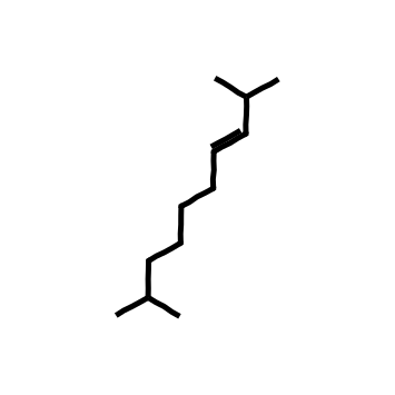 CC(C)/C=C/CCCCC(C)C